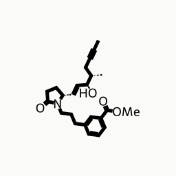 CC#CC[C@H](C)[C@H](O)/C=C/[C@H]1CCC(=O)N1CCCc1cccc(C(=O)OC)c1